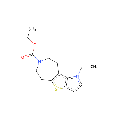 CCOC(=O)N1CCc2sc3ccn(CC)c3c2CC1